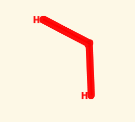 O=S(=O)(OOOOOOOOOOOOOOOOOOOOOOOOOOOOOOOOOOOOOOOOOOOOOOOOOO)OOOOOOOOOOOOOOOOOOOOOOOOOOOOOOOOOOOOOOOOOOOOOOOOOO